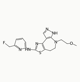 COCCN1CCc2sc(Nc3cccc(CF)n3)nc2-c2cn[nH]c21